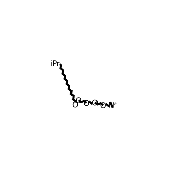 CC(C)CCCCCCCCCCCCCCC(=O)OCCOCCOCCOCC[N+](C)(C)C